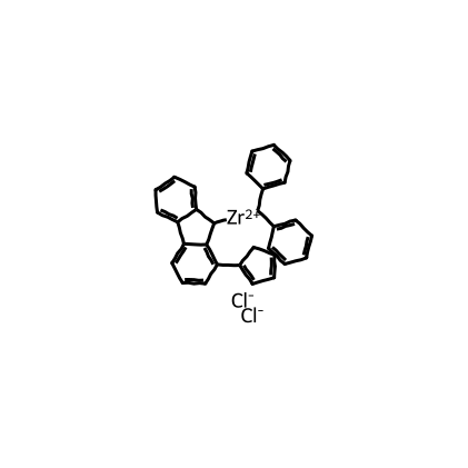 C1=CCC(c2cccc3c2[CH]([Zr+2][CH](c2ccccc2)c2ccccc2)c2ccccc2-3)=C1.[Cl-].[Cl-]